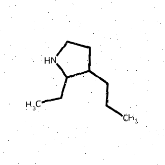 CCCC1CCNC1CC